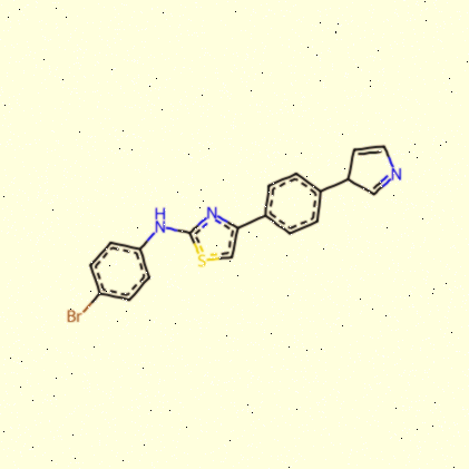 Brc1ccc(Nc2nc(-c3ccc(C4C=CN=C4)cc3)cs2)cc1